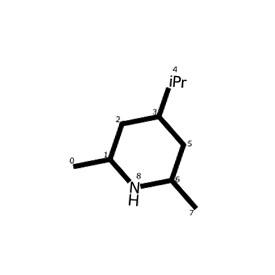 CC1CC(C(C)C)CC(C)N1